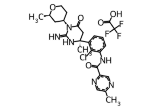 Cc1cnc(C(=O)Nc2cccc([C@]3(C)CC(=O)N([C@@H]4CCO[C@H](C)C4)C(=N)N3)c2Cl)cn1.O=C(O)C(F)(F)F